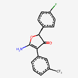 NC1=C(c2cccc(C(F)(F)F)c2)C(=O)C(c2ccc(F)cc2)O1